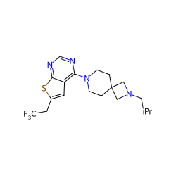 CC(C)CN1CC2(CCN(c3ncnc4sc(CC(F)(F)F)cc34)CC2)C1